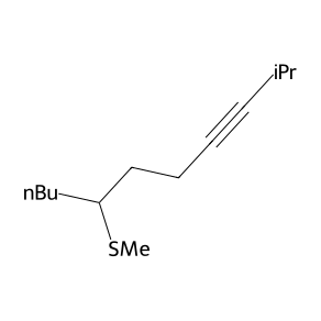 CCCCC(CCC#CC(C)C)SC